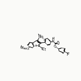 CCn1c(-c2ccc(NC(=O)Oc3ccc(F)cc3)cc2)c(N)c2ccc(OC)cc21